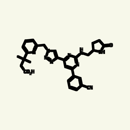 CC(C)(CC(=O)O)c1cccc(Cn2cc(-c3cc(-c4cccc(C#N)c4)nc(NCC4CCC(=O)N4)n3)nn2)n1